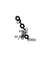 COc1ccc(S(=O)(=O)NC(=O)c2ccc(-c3cc4ccccc4o3)cc2)c(S(N)(=O)=O)c1